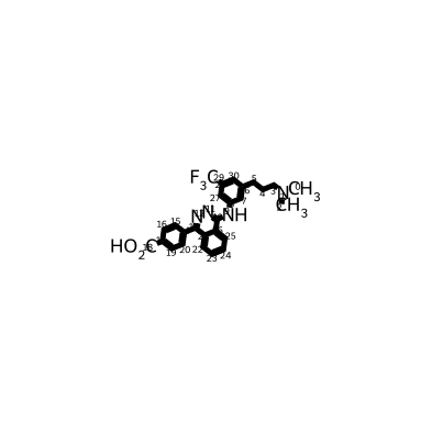 CN(C)CCCc1cc(Nc2nnc(-c3ccc(C(=O)O)cc3)c3ccccc23)cc(C(F)(F)F)c1